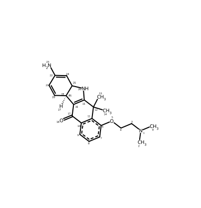 CN(C)CCOc1cccc2c1C(C)(C)C1=C(C2=O)[C@H]2C=CC(N)=CC2N1